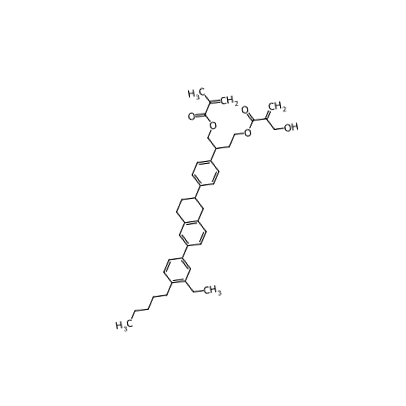 C=C(C)C(=O)OCC(CCOC(=O)C(=C)CO)c1ccc(C2CCc3cc(-c4ccc(CCCCC)c(CC)c4)ccc3C2)cc1